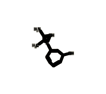 Cc1c(N)[nH]n1C1=CC(O)C=CC=C1